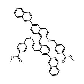 COC(=O)c1ccc(COc2ccc3cc(-c4ccc5ccccc5c4)ccc3c2-c2c(OCc3ccc(C(=O)OC)cc3)ccc3cc(-c4ccc5ccccc5c4)ccc23)cc1